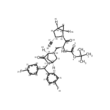 CC(C)(C)OC(=O)N[C@@H](CN1C[C@@H]2C[C@H]1C(=O)N2C(c1ccc(F)cc1)c1ccc(F)cc1)C(=O)N1[C@H](C#N)C[C@@H]2C[C@@H]21